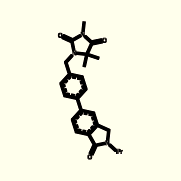 CC(C)N1Cc2cc(-c3ccc(CN4C(=O)N(C)C(=O)C4(C)C)cc3)ccc2C1=O